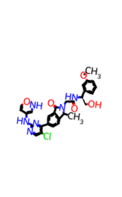 COc1cccc([C@@H](CO)NC(=O)CN2C(=O)c3cc(-c4nc(NC5=CNOC=C5)ncc4Cl)ccc3C2C)c1